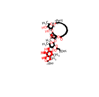 CCCCCCCCCCCC(=O)O[C@H]1[C@H](O[C@@H]2[C@H]3OC(=O)CCCCCCCCC[C@H](CCCCC)O[C@@H]4O[C@H](C)[C@H](O)[C@H](O)[C@H]4O[C@H](O[C@H]2C)[C@@H]3O)O[C@@H](C)[C@H](O[C@@H]2O[C@@H](C)[C@H](OC(=O)[C@@H](C)CC)[C@@H](O)[C@H]2O)[C@H]1O[C@@H]1O[C@@H](C)[C@H](O)[C@@H](O)[C@H]1O